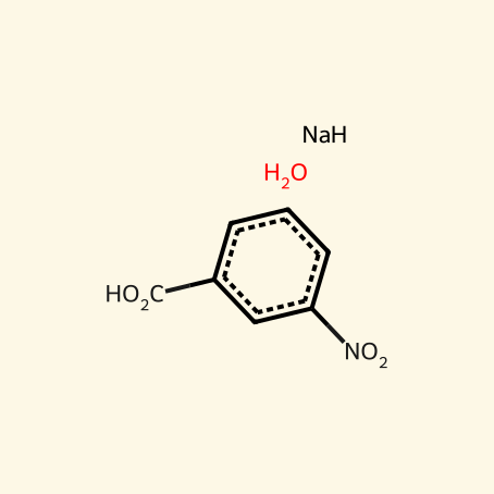 O.O=C(O)c1cccc([N+](=O)[O-])c1.[NaH]